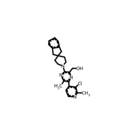 Cc1nc(N2CCC3(CC2)Cc2ccccc2C3)c(CO)nc1-c1ccnc(C)c1Cl